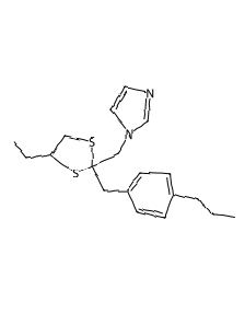 CCCc1ccc(CC2(Cn3ccnc3)SCC(CC)S2)cc1